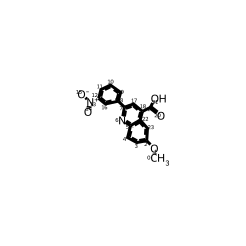 COc1ccc2nc(-c3cccc([N+](=O)[O-])c3)cc(C(=O)O)c2c1